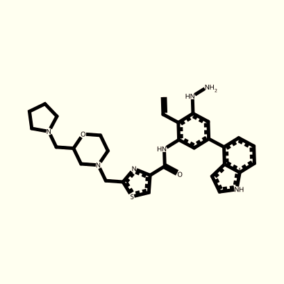 C=Cc1c(NN)cc(-c2cccc3[nH]ccc23)cc1NC(=O)c1csc(CN2CCOC(CN3CCCC3)C2)n1